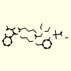 CCCCc1nc2c(N)nc3ccccc3c2n1CCCN(Cc1cccc(OC(C)(C)C(=O)OC)c1)C(=O)CN(CC)CC